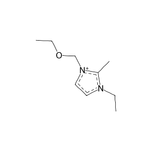 CCOC[n+]1ccn(CC)c1C